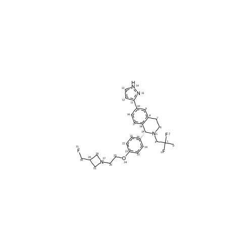 CC(F)(F)CN1CCc2cc(-c3cc[nH]n3)ccc2[C@H]1c1ccc(OCCN2CC(CF)C2)cc1